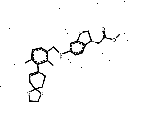 COC(=O)C[C@@H]1COc2cc(NCc3ccc(C)c(C4=CCC5(CC4)OCCO5)c3C)ccc21